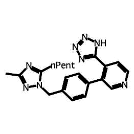 CCCCCc1nc(C)nn1Cc1ccc(-c2cnccc2-c2nnn[nH]2)cc1